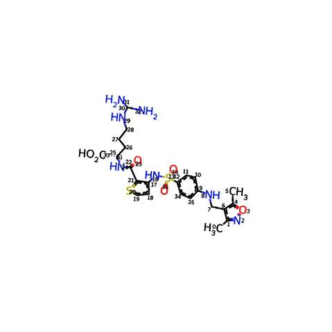 Cc1noc(C)c1CNc1ccc(S(=O)(=O)Nc2ccsc2C(=O)N[C@@H](CCCNC(N)N)C(=O)O)cc1